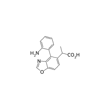 CC(C(=O)O)c1ccc2ocnc2c1-c1ccccc1N